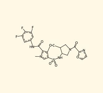 Cn1cc2c(c1C(=O)Nc1cc(F)c(F)c(F)c1)OCC1CN(C(=O)c3ncco3)CC1NS2(=O)=O